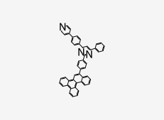 c1ccc(-c2cc(-c3ccc(-c4ccncc4)cc3)nc(-c3ccc(-c4cc5c6ccccc6c6ccccc6c5c5ccccc45)cc3)n2)cc1